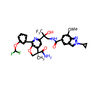 COc1cc(C(=O)NCC(O)(c2cc3c(c(-c4cccc(OC(F)F)c4)n2)OC[C@]3(C)C(N)=O)C(F)(F)F)cc2cn(C3CC3)nc12